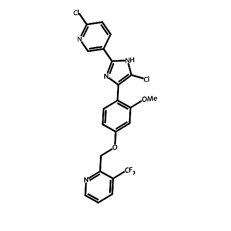 COc1cc(OCc2ncccc2C(F)(F)F)ccc1-c1nc(-c2ccc(Cl)nc2)[nH]c1Cl